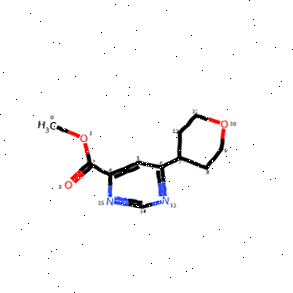 COC(=O)c1cc(C2CCOCC2)ncn1